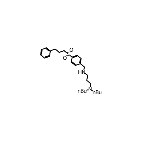 CCCCN(CCCC)CCCNCc1ccc(S(=O)(=O)CCCc2ccccc2)cc1